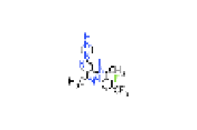 Cc1nnc(N[C@H](C)c2cccc(C(F)(F)F)c2F)c2cc(N3CCNCC3)ncc12